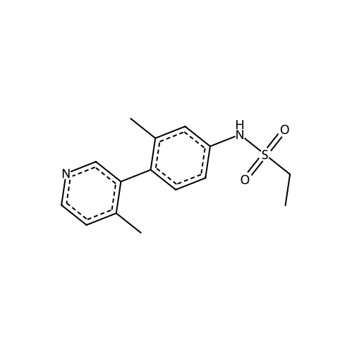 CCS(=O)(=O)Nc1ccc(-c2cnccc2C)c(C)c1